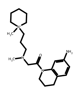 CN(CCC[N+]1(C)CCCCC1)CC(=O)N1CCCc2ccc(N)cc21